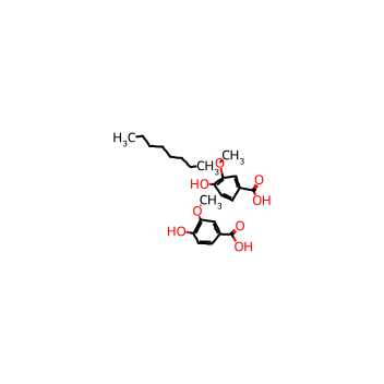 CCCCCCCC.COc1cc(C(=O)O)ccc1O.COc1cc(C(=O)O)ccc1O